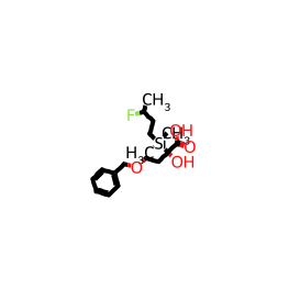 CC(F)CC[Si](C)(C)C(O)(CCOCc1ccccc1)C(=O)O